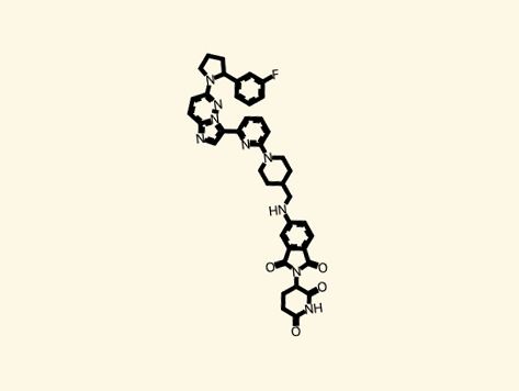 O=C1CCC(N2C(=O)c3ccc(NCC4CCN(c5cccc(-c6cnc7ccc(N8CCCC8c8cccc(F)c8)nn67)n5)CC4)cc3C2=O)C(=O)N1